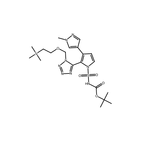 Cn1cc(-c2ccn(S(=O)(=O)NC(=O)OC(C)(C)C)c2-c2nnnn2COCC[Si](C)(C)C)cn1